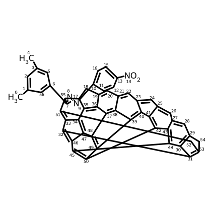 Cc1cc(C)cc(C2=NN(c3ccc([N+](=O)[O-])cc3)C34Cc5cc6cc7cc8cc9cc%10c%11c%12c%13c(c%14c3c5c3c6c5c7c8c6c9c%11c7c%13c%14c3c5c67)=C(CC=%12C%10)C24)c1